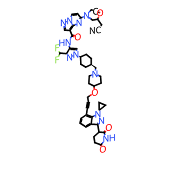 N#CCC1CN(c2ccn3ncc(C(=O)Nc4cn([C@H]5CC[C@H](CN6CCC(OCC#Cc7cccc8c(C9CCC(=O)NC9=O)nn(C9CC9)c78)CC6)CC5)nc4C(F)F)c3n2)CCO1